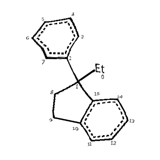 CCC1(c2ccccc2)[CH]Cc2ccccc21